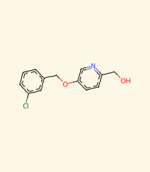 OCc1ccc(OCc2cccc(Cl)c2)cn1